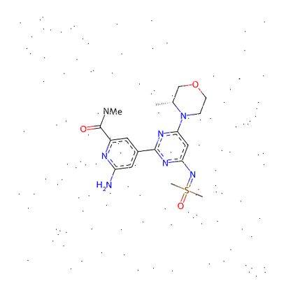 CNC(=O)c1cc(-c2nc(N=S(C)(C)=O)cc(N3CCOC[C@H]3C)n2)cc(N)n1